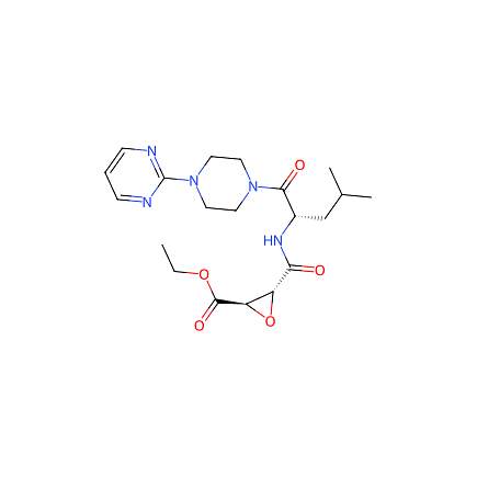 CCOC(=O)[C@@H]1O[C@H]1C(=O)N[C@@H](CC(C)C)C(=O)N1CCN(c2ncccn2)CC1